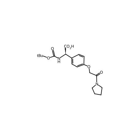 CC(C)(C)OC(=O)N[C@@H](C(=O)O)c1ccc(OCC(=O)N2CCCC2)cc1